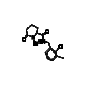 CCN1C(=O)CCCC1C(=O)NCc1cccc(C)c1Cl